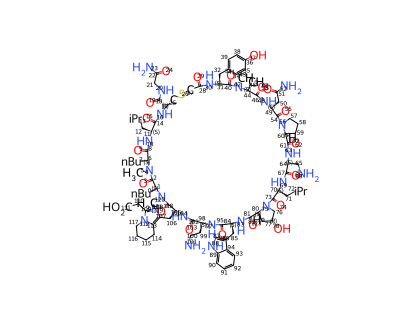 CCCC[C@H]1C(=O)N(C)[C@@H](CCCC)C(=O)N[C@@H](CC(C)C)C(=O)N[C@H](C(=O)NCC(N)=O)CSCC(=O)N[C@@H](Cc2ccc(O)cc2)C(=O)N(C)[C@@H](C)C(=O)N[C@@H](CC(N)=O)C(=O)N2CCC[C@H]2C(=O)N[C@@H](CN)C(=O)N[C@@H](CC(C)C)C(=O)N2C[C@H](O)C[C@H]2C(=O)N[C@@H](Cc2c[nH]c3ccccc23)C(=O)N[C@@H](CCN)C(=O)N[C@@H](Cc2nc(CC(=O)O)n3c2CCCC3)C(=O)N1C